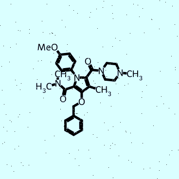 COc1ccc(-n2c(C(=O)N3CCN(C)CC3)c(C)c(OCc3ccccc3)c2C(=O)N(C)C)cc1